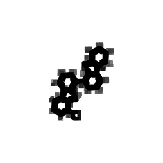 Clc1cccc2c1sc1c(-c3cccc4c3sc3ccccc34)cccc12